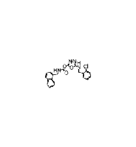 O=C(NCc1cccc2ccccc12)Oc1nnc(NCc2ccccc2Cl)o1